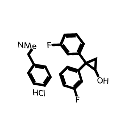 CNCc1ccccc1.Cl.OC1CC1(c1cccc(F)c1)c1cccc(F)c1